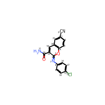 N#Cc1ccc2o/c(=N\c3ccc(Cl)cc3)c(C(N)=O)cc2c1